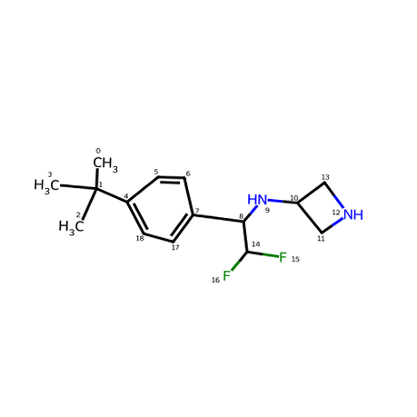 CC(C)(C)c1ccc(C(NC2CNC2)C(F)F)cc1